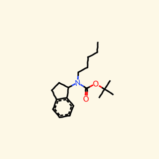 CCCCCN(C(=O)OC(C)(C)C)C1CCc2ccccc21